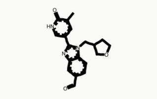 Cc1cc(-c2nc3cc(C=O)ccc3n2CC2CCOC2)c[nH]c1=O